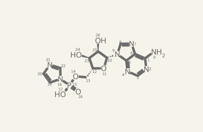 Nc1ncnc2c1ncn2[C@@H]1O[C@H](COP(=O)(O)n2ccnc2)[C@@H](O)[C@H]1O